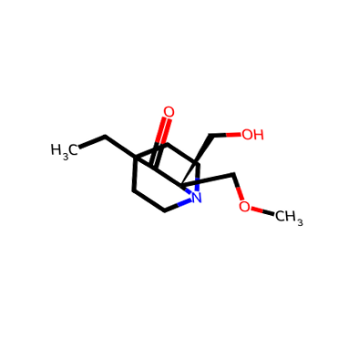 CCC12CCN(CC1)[C@@](CO)(COC)C2=O